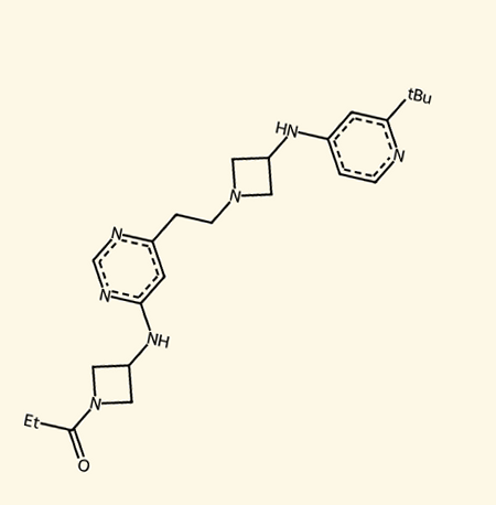 CCC(=O)N1CC(Nc2cc(CCN3CC(Nc4ccnc(C(C)(C)C)c4)C3)ncn2)C1